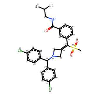 CCC(CC)CNC(=O)c1cccc(C(=C2CN(C(c3ccc(Cl)cc3)c3ccc(Cl)cc3)C2)S(C)(=O)=O)c1